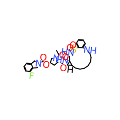 CC(=O)N1C[C@H](OC(=O)N2Cc3cccc(F)c3C2)C[C@H]1C(=O)N[C@]12C[C@H]1CCCCCCCNc1ccccc1S(=O)(=O)NC2=O